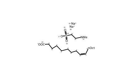 CCCCCCCC/C=C\CCCCCCCC(=O)[O-].CNCCS(=O)(=O)[O-].[Na+].[Na+]